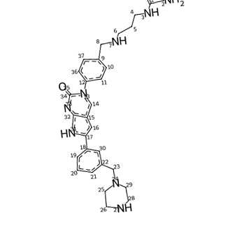 N=C(N)NCCCNCc1ccc(-n2cc3cc(-c4cccc(CN5CCNCC5)c4)[nH]c3nc2=O)cc1